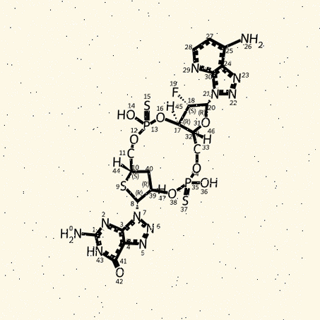 Nc1nc2c(nnn2[C@@H]2S[C@@H]3COP(O)(=S)O[C@H]4[C@H](F)[C@H](n5nnc6c(N)ccnc65)O[C@@H]4COP(O)(=S)O[C@@H]2C3)c(=O)[nH]1